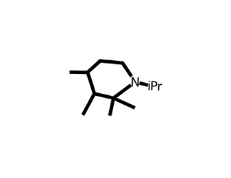 CC1CCN(C(C)C)C(C)(C)C1C